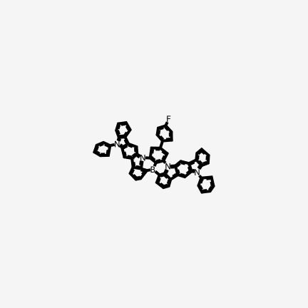 Fc1ccc(-c2cc3c4c(c2)-n2c5cc6c7ccccc7n(-c7ccccc7)c6cc5c5cccc(c52)B4c2cccc4c5cc6c(cc5n-3c24)c2ccccc2n6-c2ccccc2)cc1